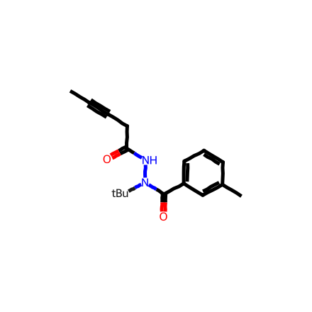 CC#CCC(=O)NN(C(=O)c1cccc(C)c1)C(C)(C)C